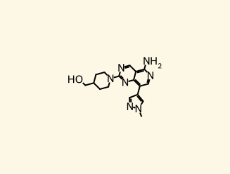 Cn1cc(-c2cnc(N)c3cnc(N4CCC(CO)CC4)nc23)cn1